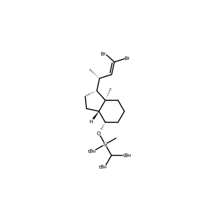 C[C@H](C=C(Br)Br)[C@H]1CC[C@H]2[C@@H](O[Si](C)(C(C(C)(C)C)C(C)(C)C)C(C)(C)C)CCC[C@]12C